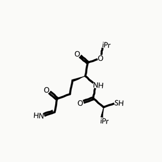 CC(C)OC(=O)[C@H](CCC(=O)C=N)NC(=O)[C@@H](S)C(C)C